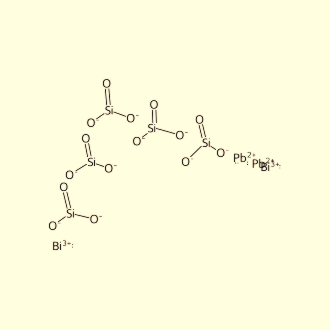 O=[Si]([O-])[O-].O=[Si]([O-])[O-].O=[Si]([O-])[O-].O=[Si]([O-])[O-].O=[Si]([O-])[O-].[Bi+3].[Bi+3].[Pb+2].[Pb+2]